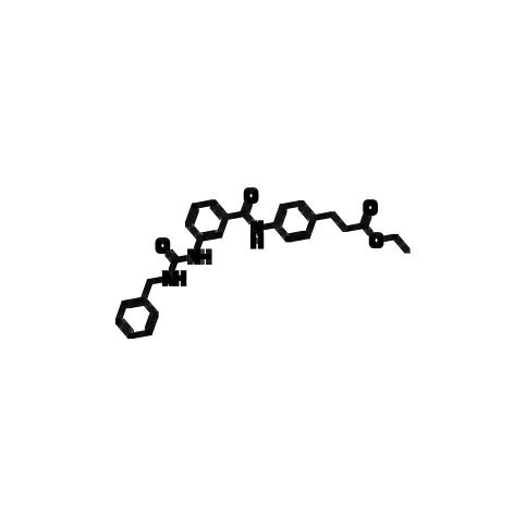 CCOC(=O)CCc1ccc(NC(=O)c2cccc(NC(=O)NCc3ccccc3)c2)cc1